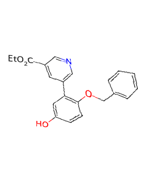 CCOC(=O)c1cncc(-c2cc(O)ccc2OCc2ccccc2)c1